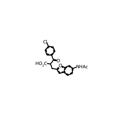 CC(=O)Nc1ccc2cc(CC(C(=O)O)C(=O)c3ccc(Cl)cc3)oc2c1